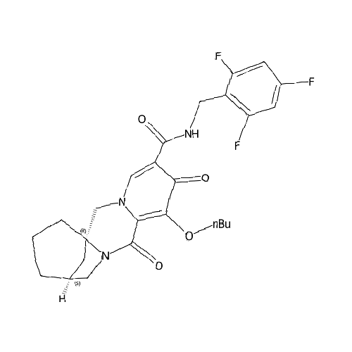 CCCCOc1c2n(cc(C(=O)NCc3c(F)cc(F)cc3F)c1=O)C[C@]13CCC[C@H](CN1C2=O)C3